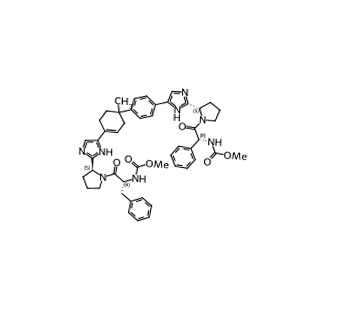 COC(=O)N[C@H](Cc1ccccc1)C(=O)N1CCC[C@H]1c1ncc(C2=CCC(C)(c3ccc(-c4cnc([C@@H]5CCCN5C(=O)[C@H](NC(=O)OC)c5ccccc5)[nH]4)cc3)CC2)[nH]1